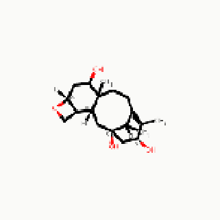 CC1=C2CCC3(C)C(O)C[C@H]4OCC4[C@H]3C[C@@](O)(C[C@@H]1O)C2(C)C